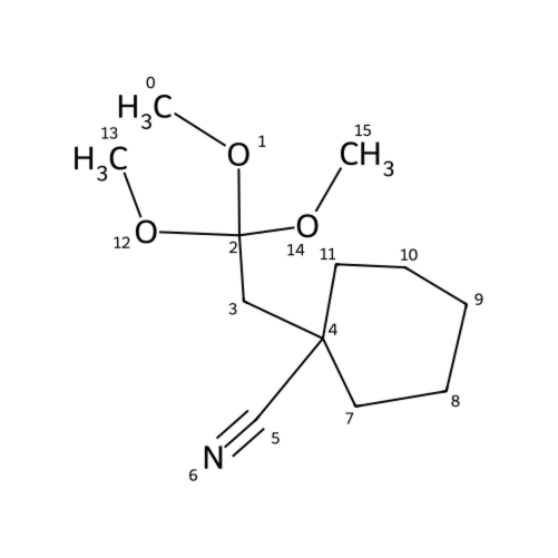 COC(CC1(C#N)CCCCC1)(OC)OC